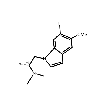 COc1cc2ccn(C[C@@H](C)N(C)C)c2cc1F